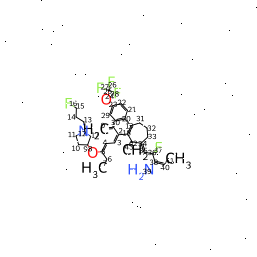 C=C/C(=C\C=C(/CC)O[C@H]1CCN(CCCF)C1)C1=C(c2ccc(OC(F)(F)F)cc2)CCC/C(=C\C(F)/C(N)=C\C)C1=C